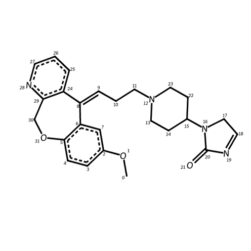 COc1ccc2c(c1)C(=CCCN1CCC(N3CC=NC3=O)CC1)c1cccnc1CO2